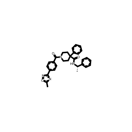 Cc1nc(-c2ccc(C(=O)N3CCC(C(=O)N[C@@H](C)c4ccccc4)(c4ccccc4)CC3)cc2)no1